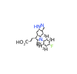 [2H]c1c([2H])c(-n2c(C(C)C)c(/C=C/C(=O)O)c3cc4[nH]ncc4cc32)c([2H])c([2H])c1F